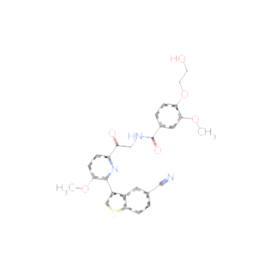 COc1cc(C(=O)NCC(=O)c2ccc(OC)c(-c3csc4ccc(C#N)cc34)n2)ccc1OCCO